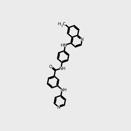 Cc1ccc2nccc(Nc3ccc(NC(=O)c4cccc(Nc5ccncc5)c4)cc3)c2c1